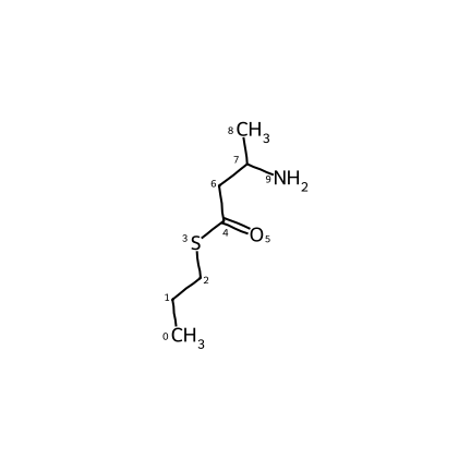 CCCSC(=O)CC(C)N